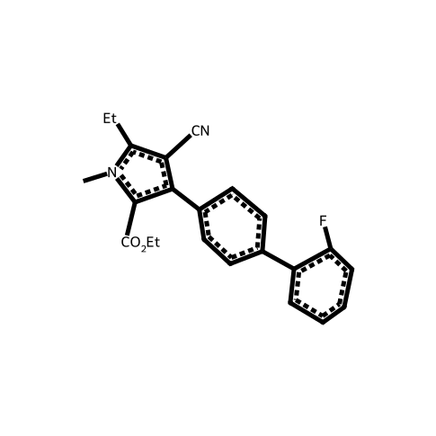 CCOC(=O)c1c(-c2ccc(-c3ccccc3F)cc2)c(C#N)c(CC)n1C